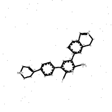 Nc1nc(F)c(-c2ccc(C3=CCNCC3)cc2)cc1-c1ccc2c(c1)CCN=C2